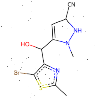 Cc1nc(C(O)C2=CC(C#N)NN2C)c(Br)s1